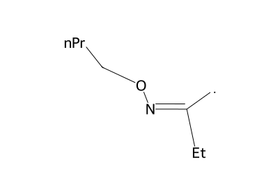 [CH2]C(CC)=NOCCCC